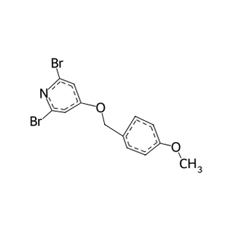 COc1ccc(COc2cc(Br)nc(Br)c2)cc1